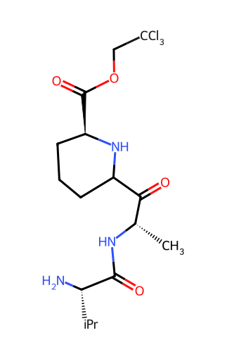 CC(C)[C@H](N)C(=O)N[C@@H](C)C(=O)C1CCC[C@@H](C(=O)OCC(Cl)(Cl)Cl)N1